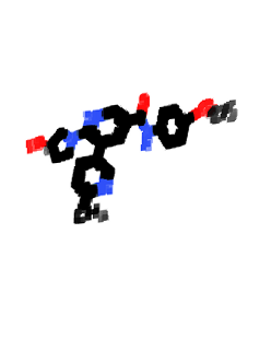 Cc1ccc(-c2cc(C(=O)Nc3ccc(OC(F)(F)F)cc3)cnc2N2CC[C@H](O)C2)cn1